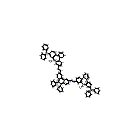 CN1c2cc(N(c3ccccc3)c3ccccc3)ccc2C2=C(CCC=C2)c2ccc(/C=C/c3ccc4c(-c5ccccc5)c(-c5ccccc5)c5ccc(/C=C/c6ccc7c(c6)N(C)c6cc(N(c8ccccc8)c8ccccc8)ccc6C6C=CC=CC76)cc5c4c3)cc21